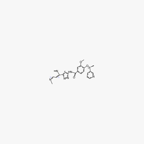 C=N/C(=C\C=N/C)c1nnc(NC(=O)c2ccc(O[C@@H](C)c3cccnc3)c(OC)c2)s1